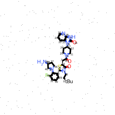 CC(C)(C)CCN1C(=O)[C@H](CC(=O)N2CCC(n3c(=O)[nH]c4ncccc43)CC2)S[C@H]1c1cccc(F)c1N1CCC(N)C1